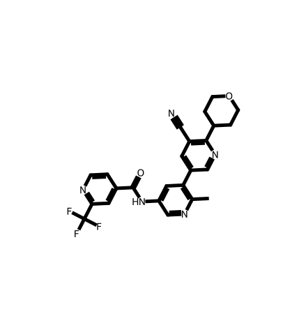 Cc1ncc(NC(=O)c2ccnc(C(F)(F)F)c2)cc1-c1cnc(C2CCOCC2)c(C#N)c1